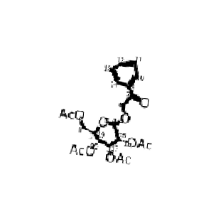 CC(=O)OC[C@H]1OC(OCC(=O)c2ccccc2)[C@H](OC(C)=O)[C@@H](OC(C)=O)[C@@H]1OC(C)=O